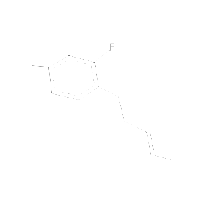 C/C=C/CCc1ccc(C)cc1F